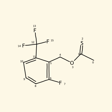 CC(=S)OCc1c(F)cccc1C(F)(F)F